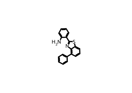 Nc1ccccc1-c1nc2c(-c3ccccc3)cccc2s1